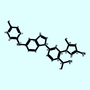 Cc1cnc(Nc2ccc3c(c2)ncn3-c2ccc(C(C)O)c(-n3nc(C#N)cc3C)n2)nn1